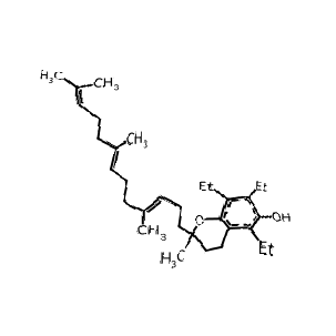 CCc1c(O)c(CC)c2c(c1CC)OC(C)(CC/C=C(\C)CC/C=C(\C)CCC=C(C)C)CC2